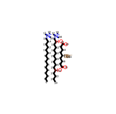 CCCCCCCCCCCCCCCC[N+](C)(C)C.CCCCCCCCCCCCCCCC[N+](C)(C)C.O=C(O)CCCCCCCC(=O)O.[Br-].[Br-]